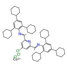 CC(=Nc1c(C2CCCCC2)cc(C2CCCCC2)cc1C1CCCCC1)c1cc(Cl)cc(C(C)=Nc2c(C3CCCCC3)cc(C3CCCCC3)cc2C2CCCCC2)n1.[Cl-].[Cl-].[Co+2]